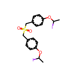 CC(I)Oc1ccc(CS(=O)(=O)Cc2ccc(OC(C)I)cc2)cc1